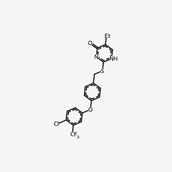 CCc1c[nH]c(SCc2ccc(Oc3ccc(Cl)c(C(F)(F)F)c3)cc2)nc1=O